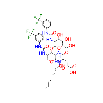 CCCCCCCC(=O)NC(CCC(=O)O)C(=O)N[C@H]1C(CO)OCC(NC(=O)Nc2cccc(C(F)(F)F)c2)C1O[C@@H]1OC(CO)[C@@H](O)C(O)C1NC(=O)Nc1cccc(C(F)(F)F)c1